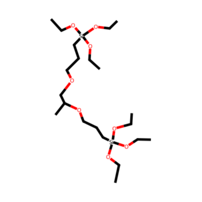 CCO[Si](CCCOCC(C)OCCC[Si](OCC)(OCC)OCC)(OCC)OCC